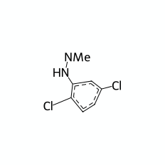 CNNc1cc(Cl)ccc1Cl